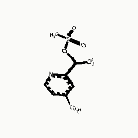 CS(=O)(=O)OC(c1cc(C(=O)O)ccn1)C(F)(F)F